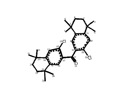 CC1(C)CCC(C)(C)c2cc(C(=O)c3cc4c(cc3Cl)C(C)(C)CCC4(C)C)c(Cl)cc21